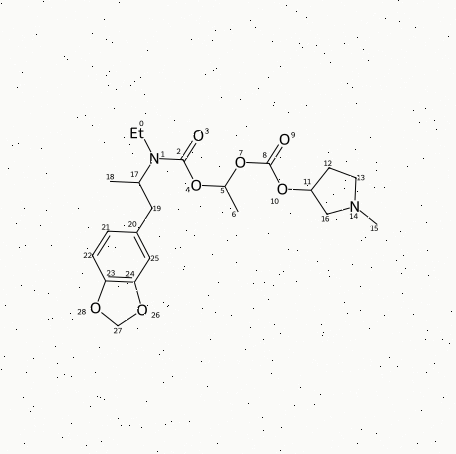 CCN(C(=O)OC(C)OC(=O)OC1CCN(C)C1)C(C)Cc1ccc2c(c1)OCO2